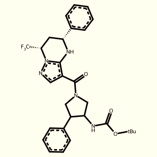 CC(C)(C)OC(=O)NC1CN(C(=O)c2cnn3c2N[C@@H](c2ccccc2)C[C@H]3C(F)(F)F)CC1c1ccccc1